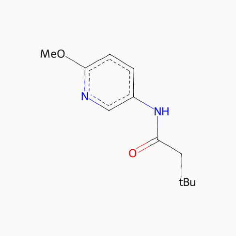 COc1ccc(NC(=O)CC(C)(C)C)cn1